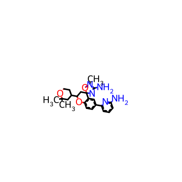 CN1OC2(CC(C3CCOC(C)(C)C3)Oc3ccc(-c4cccc(N)n4)cc32)N=C1N